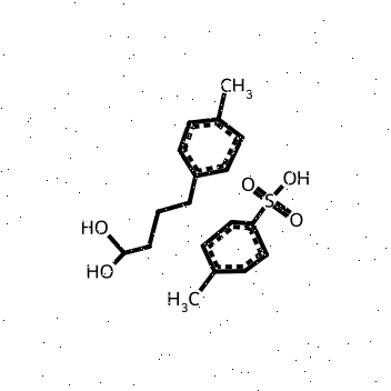 Cc1ccc(CCCC(O)O)cc1.Cc1ccc(S(=O)(=O)O)cc1